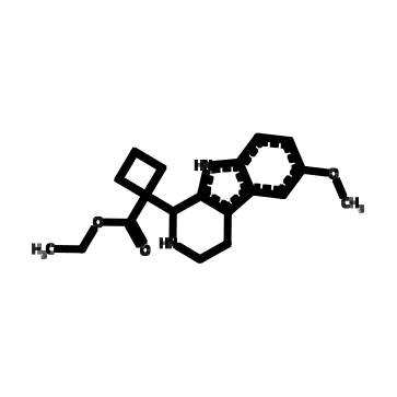 CCOC(=O)C1(C2NCCc3c2[nH]c2ccc(OC)cc32)CCC1